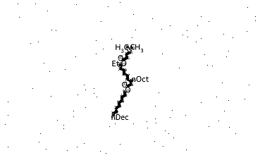 CCCCCCCCCCCCCCCCCCCOC(=O)CC(CCCCCCCC)CCCCCC(CC)OC(=O)CCCN(C)C